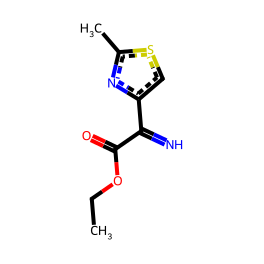 CCOC(=O)C(=N)c1csc(C)n1